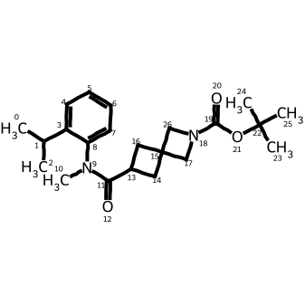 CC(C)c1ccccc1N(C)C(=O)C1CC2(C1)CN(C(=O)OC(C)(C)C)C2